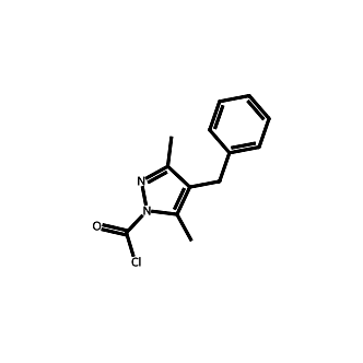 Cc1nn(C(=O)Cl)c(C)c1Cc1ccccc1